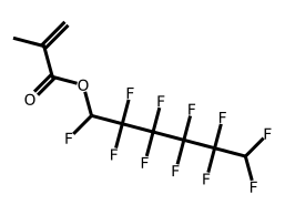 C=C(C)C(=O)OC(F)C(F)(F)C(F)(F)C(F)(F)C(F)(F)C(F)F